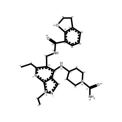 CCc1nc2c(cnn2CC)c(NC2CCN(C(N)=O)CC2)c1CNC(=O)c1cccc2c1OCC2